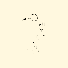 N#Cc1cccc(-c2nnc(C(=O)NOC(=O)N3CCCC3CF)o2)c1